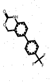 O=C1Nc2ccc(-c3ccc(C(F)(F)F)cc3)cc2CO1